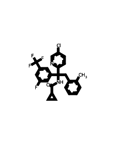 Cc1ccccc1CC(NC(=O)C1CC1)(c1cc(F)cc(C(F)(F)F)c1)c1ccc(Cl)cn1